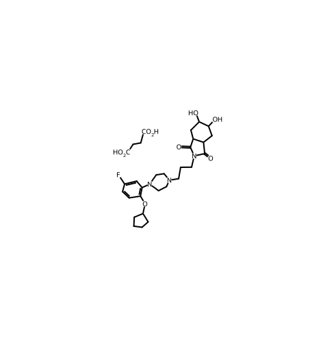 O=C(O)CCC(=O)O.O=C1C2CC(O)C(O)CC2C(=O)N1CCCN1CCN(c2cc(F)ccc2OC2CCCC2)CC1